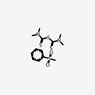 CN(C)C(=S)SC(=S)N(C)C.CS(=O)(=O)c1ccccc1